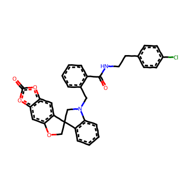 O=C(NCCc1ccc(Cl)cc1)c1ccccc1CN1CC2(COc3cc4oc(=O)oc4cc32)c2ccccc21